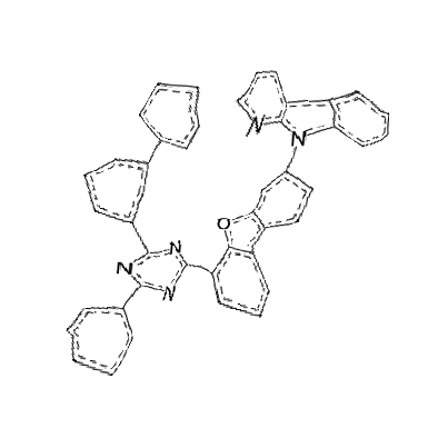 c1ccc(-c2cccc(-c3nc(-c4ccccc4)nc(-c4cccc5c4oc4cc(-n6c7ccccc7c7cccnc76)ccc45)n3)c2)cc1